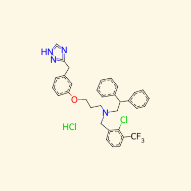 Cl.FC(F)(F)c1cccc(CN(CCCOc2cccc(Cc3nc[nH]n3)c2)CC(c2ccccc2)c2ccccc2)c1Cl